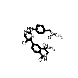 C[S+]([O-])Cc1ccc(Nc2ncc(Cl)c(-c3ccc4c(c3)C(C)(C)CNC4=O)n2)cc1